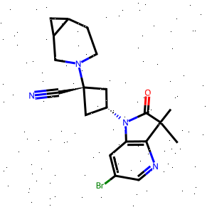 CC1(C)C(=O)N([C@H]2C[C@@](C#N)(N3CCC4CC4C3)C2)c2cc(Br)cnc21